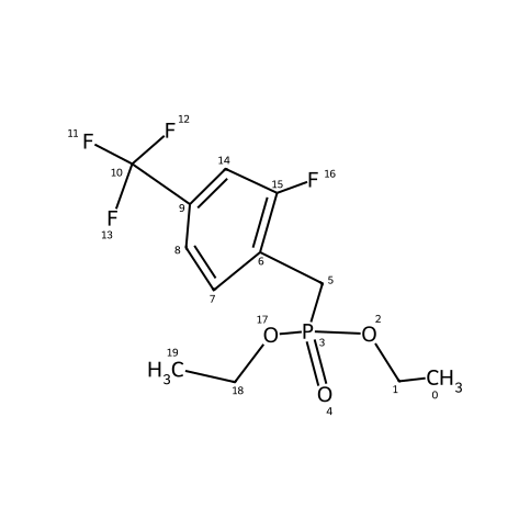 CCOP(=O)(Cc1ccc(C(F)(F)F)cc1F)OCC